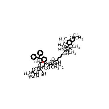 Cc1c(C)c(S(=O)(=O)N(C)C(=N)NCCC[C@H](N)C(=O)NC(C)(C)C(=O)N[C@@H](CC(=O)NC(c2ccccc2)(c2ccccc2)c2ccccc2)C(=O)N[C@@H](CS)C(=O)N[C@H](C(N)=O)C(C)(C)C)c(C)c2c1OC(C)(C)C2